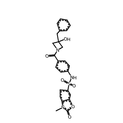 Cn1c(=O)oc2cc(S(=O)(=O)Nc3ccc(C(=O)N4CC(O)(Cc5ccccc5)C4)cc3)ccc21